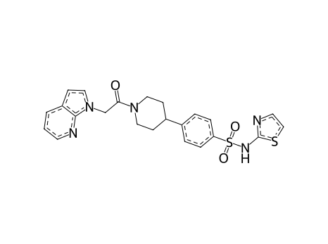 O=C(Cn1ccc2cccnc21)N1CCC(c2ccc(S(=O)(=O)Nc3nccs3)cc2)CC1